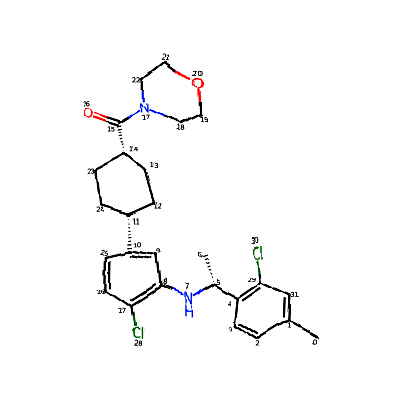 Cc1ccc([C@@H](C)Nc2cc([C@H]3CC[C@@H](C(=O)N4CCOCC4)CC3)ccc2Cl)c(Cl)c1